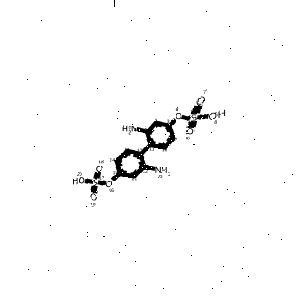 Nc1cc(OS(=O)(=O)O)ccc1-c1ccc(OS(=O)(=O)O)cc1N